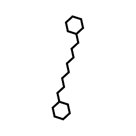 C(CCCCC1CCCCC1)CCCC1CCCCC1